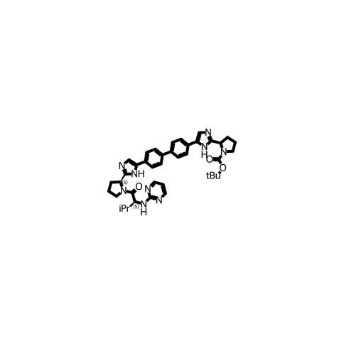 CC(C)[C@H](Nc1ncccn1)C(=O)N1CCC[C@H]1c1ncc(-c2ccc(-c3ccc(-c4cnc(C5CCCN5C(=O)OC(C)(C)C)[nH]4)cc3)cc2)[nH]1